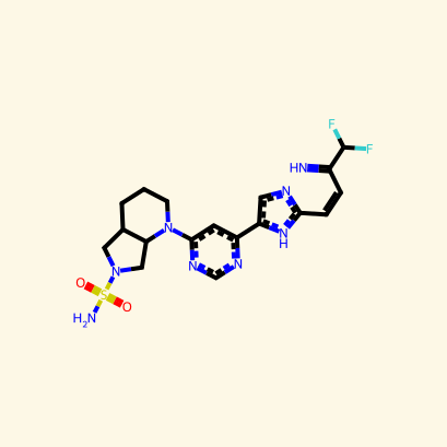 N=C(/C=C\c1ncc(-c2cc(N3CCCC4CN(S(N)(=O)=O)CC43)ncn2)[nH]1)C(F)F